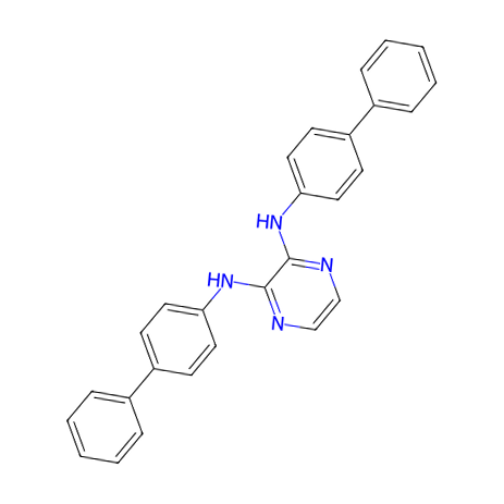 c1ccc(-c2ccc(Nc3nccnc3Nc3ccc(-c4ccccc4)cc3)cc2)cc1